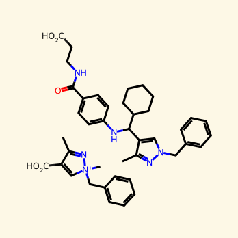 CC1=N[N+](C)(Cc2ccccc2)C=C1C(=O)O.Cc1nn(Cc2ccccc2)cc1C(Nc1ccc(C(=O)NCCC(=O)O)cc1)C1CCCCC1